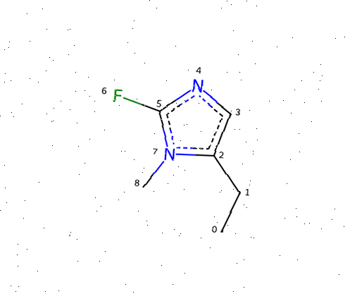 CCc1cnc(F)n1C